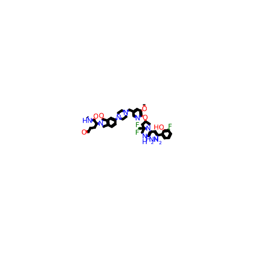 CNC(=O)C(CCC=O)N1Cc2ccc(N3CCN(Cc4cnc(OC5CN6C(/C=C(\N)c7cccc(F)c7O)=C(N)NCC6(C(F)F)C5)c(OC)c4)CC3)cc2C1=O